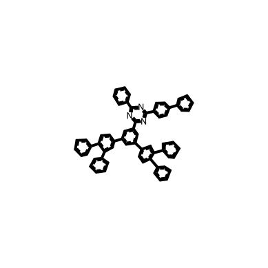 c1ccc(-c2ccc(-c3nc(-c4ccccc4)nc(-c4cc(-c5ccc(-c6ccccc6)c(-c6ccccc6)c5)cc(-c5ccc(-c6ccccc6)c(-c6ccccc6)c5)c4)n3)cc2)cc1